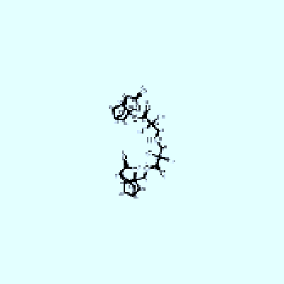 O=C1OC2(COC(=O)C(F)(F)CNCC(F)(F)C(=O)OC34CC5CC(C(=O)O3)C4C5)CC3CC1C2C3